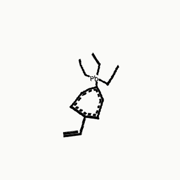 C=Cc1cc[c]([Pb]([CH2]C)([CH2]C)[CH2]C)cc1